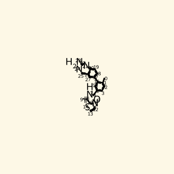 Cc1ccc(C(=O)N[C@H](C)c2nccs2)cc1-c1ccc2nc(N)ncc2c1